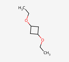 CCOC1CC(OCC)C1